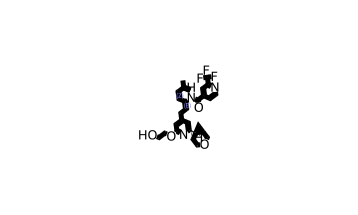 C=C(C)/C=C\C(=C/Cc1cc(OCCO)nc([C@@]23CCOC[C@@H]2C3)c1)NC(=O)c1ccnc(C(F)(F)F)c1